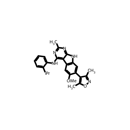 COc1cc2c(cc1-c1c(C)noc1C)[nH]c1nc(C)nc(Nc3ccccc3C(C)C)c12